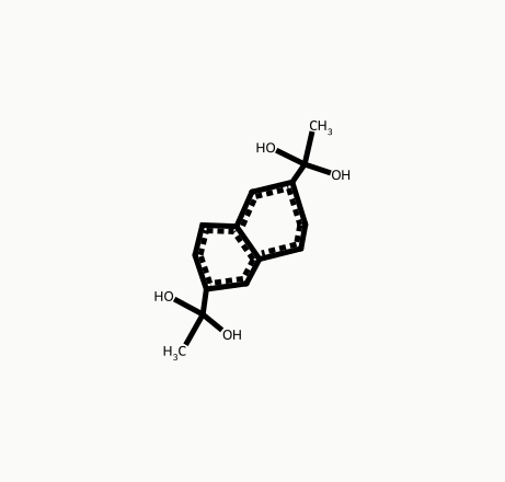 CC(O)(O)c1ccc2cc(C(C)(O)O)ccc2c1